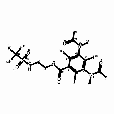 CC(=O)N(C)c1c(I)c(C(=O)OCCNS(=O)(=O)C(F)(F)F)c(I)c(N(C)C(C)=O)c1I